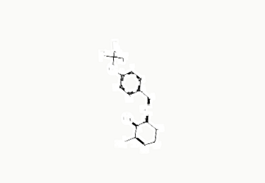 O=C1C(=C=Cc2ccc(OC(F)(F)F)cc2)CCC=C1I